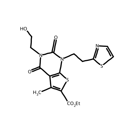 CCOC(=O)c1sc2c(c1C)c(=O)n(CCO)c(=O)n2CCc1nccs1